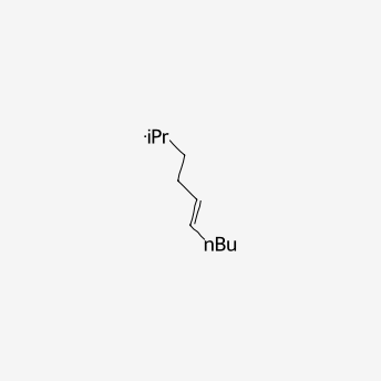 [CH2]CCCC=CCC[C](C)C